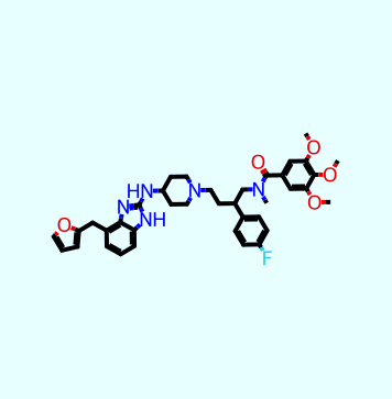 COc1cc(C(=O)N(C)CC(CCN2CCC(Nc3nc4c(Cc5ccco5)cccc4[nH]3)CC2)c2ccc(F)cc2)cc(OC)c1OC